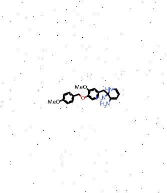 COc1ccc(COc2ccc(CC3(N)NC=CC=C3N)cc2OC)cc1